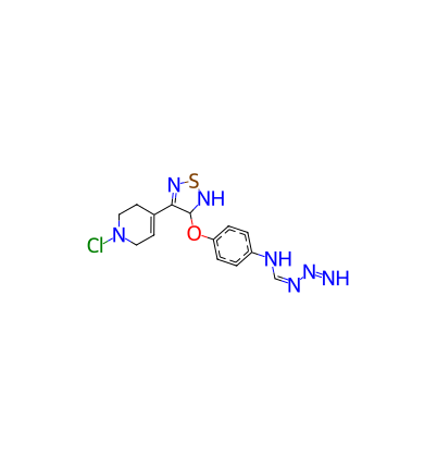 N=N/N=C\Nc1ccc(OC2NSN=C2C2=CCN(Cl)CC2)cc1